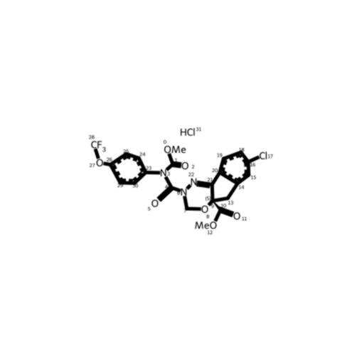 COC(=O)N(C(=O)N1CO[C@@]2(C(=O)OC)Cc3cc(Cl)ccc3C2=N1)c1ccc(OC(F)(F)F)cc1.Cl